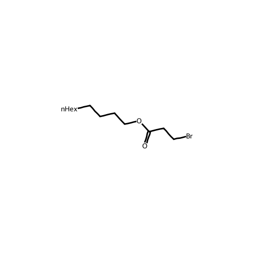 CCCCCCCCCCOC(=O)CCBr